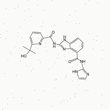 CC(C)(O)c1cccc(C(=O)Nc2nc3c(C(=O)Nc4ncc[nH]4)cccc3[nH]2)n1